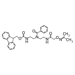 CC(C)=NOCC(=O)NCCN(CCNC(=O)OCC1c2ccccc2-c2ccccc21)C(=O)c1ccccc1